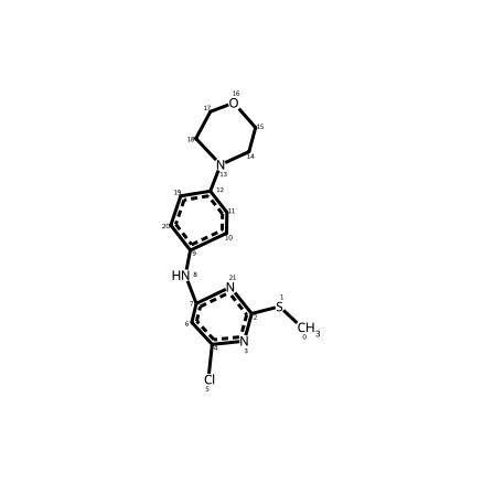 CSc1nc(Cl)cc(Nc2ccc(N3CCOCC3)cc2)n1